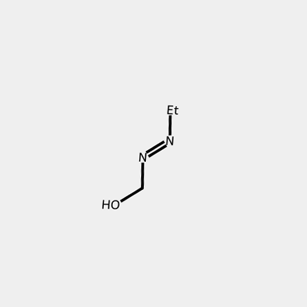 CCN=NCO